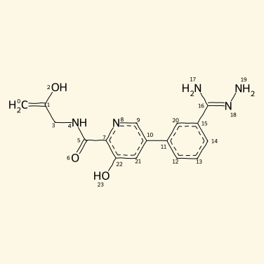 C=C(O)CNC(=O)c1ncc(-c2cccc(/C(N)=N/N)c2)cc1O